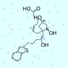 O=C(O)CCC/C=C\CC1(/C=C(/O)CCCc2cc3ccccc3s2)C[C@@H](O)C[C@H]1O